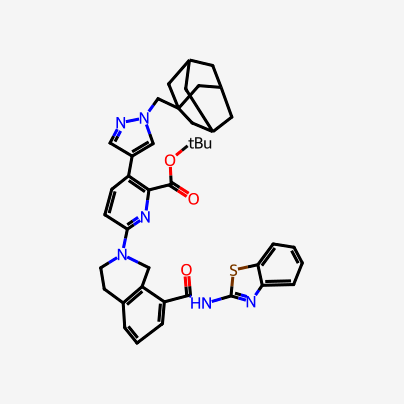 CC(C)(C)OC(=O)c1nc(N2CCc3cccc(C(=O)Nc4nc5ccccc5s4)c3C2)ccc1-c1cnn(CC23CC4CC(CC(C4)C2)C3)c1